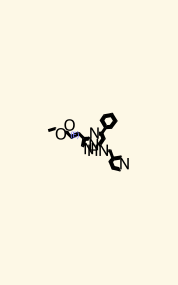 CCOC(=O)/C=C/c1cnn2c(NCc3cccnc3)cc(-c3ccccc3)nc12